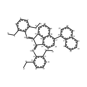 CCc1cccc(CC)c1N=C1C(=Nc2c(CC)cccc2CC)c2ccc(-c3cccc4ccccc34)c3cccc1c23